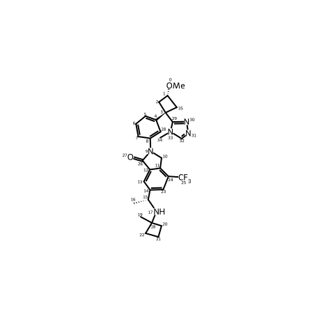 CO[C@H]1C[C@@](c2cccc(N3Cc4c(cc([C@@H](C)NC5(C)CCC5)cc4C(F)(F)F)C3=O)c2)(c2nncn2C)C1